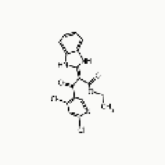 CCOC(=O)C(C(=O)c1cnc(Cl)cc1Cl)=C1Nc2ccccc2N1